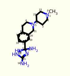 CN1CCC(N2CCc3ccc(C4(N)N=C(N)NN4)cc3C2)CC1